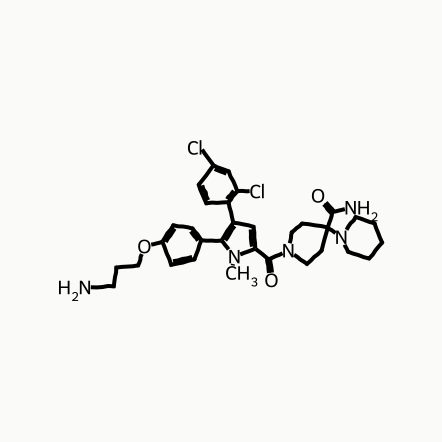 Cn1c(C(=O)N2CCC(C(N)=O)(N3CCCCC3)CC2)cc(-c2ccc(Cl)cc2Cl)c1-c1ccc(OCCCN)cc1